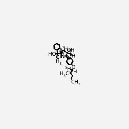 [2H]C([2H])(Oc1ccc([C@@H](NC(=O)[C@](C)(O)c2ccccc2)C(O)(C([2H])([2H])[2H])C([2H])([2H])[2H])cc1)[C@@H](C)CCC